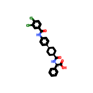 O=C(Nc1ccc([C@H]2CC[C@H](C(=O)N[C@H](C(=O)O)c3ccccc3)CC2)cc1)c1ccc(Cl)c(Cl)c1